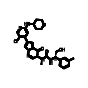 Cc1cccc([C@@H](CO)NC(=O)[C@@H](C)n2cnn3cc(-c4cc(NC5CCOCC5)ncc4Cl)cc3c2=O)c1